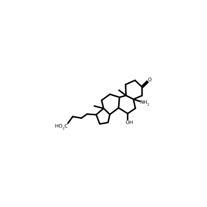 CC12CCC3C(C(O)CC4(N)CC(=O)CCC34C)C1CCC2CCCC(=O)O